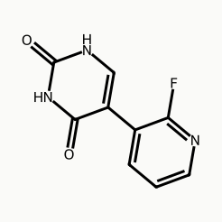 O=c1[nH]cc(-c2cccnc2F)c(=O)[nH]1